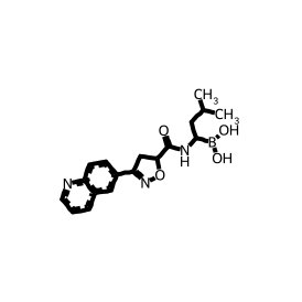 CC(C)CC(NC(=O)C1CC(c2ccc3ncccc3c2)=NO1)B(O)O